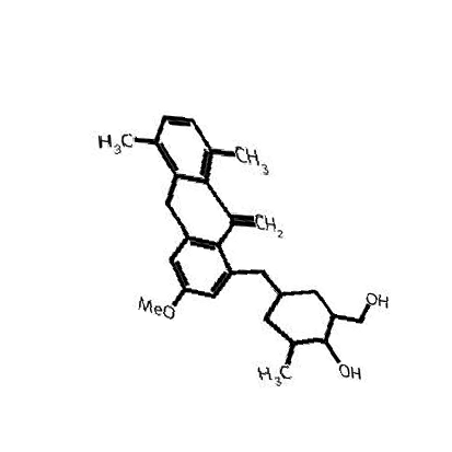 C=C1c2c(cc(OC)cc2CC2CC(C)C(O)C(CO)C2)Cc2c(C)ccc(C)c21